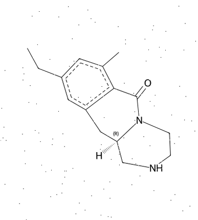 CCc1cc(C)c2c(c1)C[C@@H]1CNCCN1C2=O